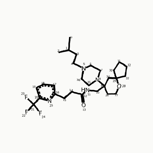 CC(C)CCN1CCN(C2(CNC(=O)CCc3cccc(C(F)(F)F)n3)CCOC3(CCCC3)C2)CC1